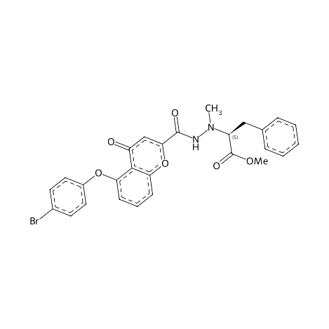 COC(=O)[C@H](Cc1ccccc1)N(C)NC(=O)c1cc(=O)c2c(Oc3ccc(Br)cc3)cccc2o1